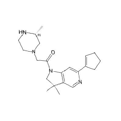 C[C@@H]1CN(CC(=O)N2CC(C)(C)c3cnc(C4=CCCC4)cc32)CCN1